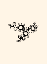 C=CC(=O)OC1=CC2=CC2C(c2cc(OC(=O)C=C)ccc2Nc2ccc(C)c(C)c2)=C1